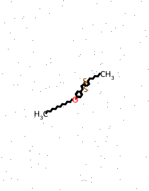 CCCCCCCCCCCCOc1ccc(-c2cc3sc(CCCCCC)cc3s2)cc1